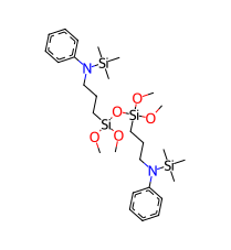 CO[Si](CCCN(c1ccccc1)[Si](C)(C)C)(OC)O[Si](CCCN(c1ccccc1)[Si](C)(C)C)(OC)OC